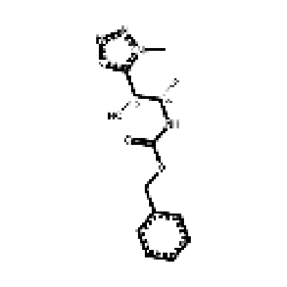 C[C@H](NC(=O)OCc1ccccc1)[C@H](O)c1nnnn1C